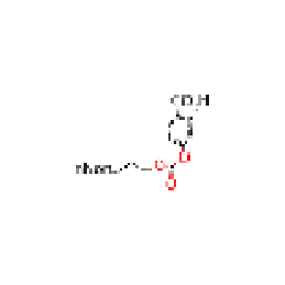 CCCCCCCCCCCCOC(=O)Oc1ccc(C(=O)O)cc1